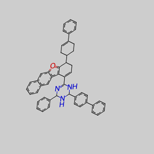 C1=C(c2ccccc2)CCC(C2CC=C(C3=NC(c4ccccc4)NC(c4ccc(-c5ccccc5)cc4)N3)c3c2oc2cc4ccccc4cc32)C1